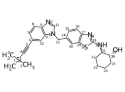 C[Si](C)(C)C#Cc1ccc2ncn(Cc3ccc4nc(N[C@@H]5CCCC[C@H]5O)sc4c3)c2c1